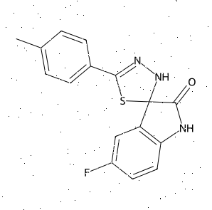 Cc1ccc(C2=NNC3(S2)C(=O)Nc2ccc(F)cc23)cc1